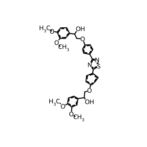 COc1ccc(C(O)COc2ccc(-c3nsc(-c4ccc(OCC(O)c5ccc(OC)c(OC)c5)cc4)n3)cc2)cc1OC